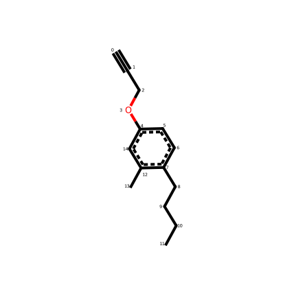 C#CCOc1ccc(CCCC)c(C)c1